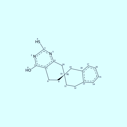 Oc1nc(S)nc2c1CC[C@@]1(CCc3ccccc3C1)C2